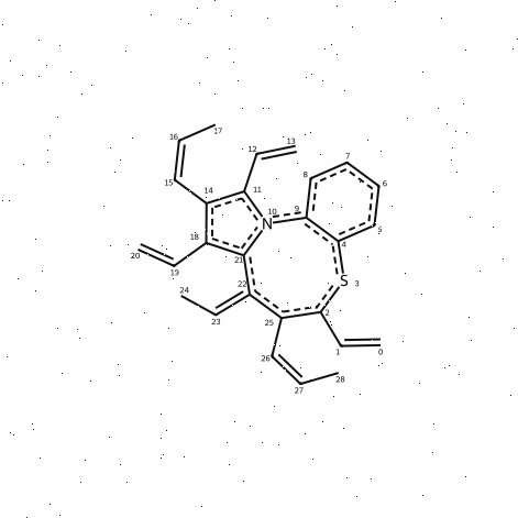 C=Cc1sc2ccccc2n2c(C=C)c(/C=C\C)c(C=C)c2/c(=C\C)c1/C=C\C